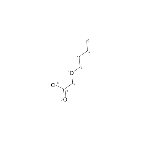 CCCCOCC(=O)Cl